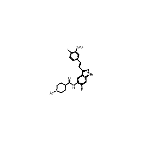 COc1cc(/C=C/c2n[nH]c3cc(F)c(NC(=O)C4CCN(C(C)=O)CC4)cc23)ccc1F